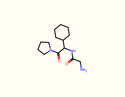 NCC(=O)NC(C(=O)N1CCCC1)C1CCCCC1